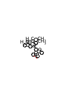 CC1(C)CCC(C)(C)c2cc(N(c3cc4c(c(-c5ccccc5)c3)C3(c5ccccc5O4)C4CC5CC6CC3C64C5)c3ccc4c(c3)C(C)(C)c3ccccc3-4)ccc21